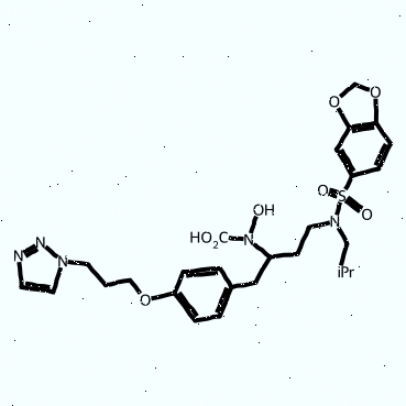 CC(C)CN(CCC(Cc1ccc(OCCCn2ccnn2)cc1)N(O)C(=O)O)S(=O)(=O)c1ccc2c(c1)OCO2